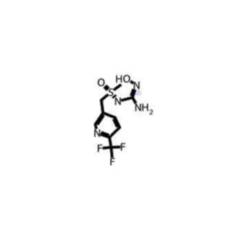 CS(=O)(Cc1ccc(C(F)(F)F)nc1)=N/C(N)=N\O